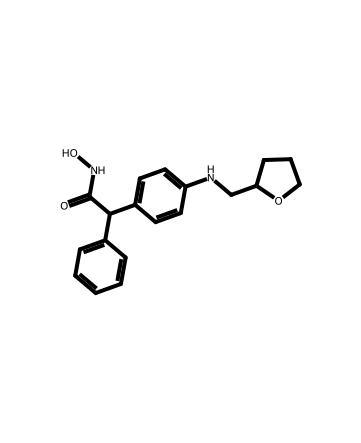 O=C(NO)C(c1ccccc1)c1ccc(NCC2CCCO2)cc1